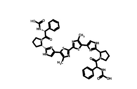 Cc1nc(-c2nc(C)c(-c3c[nH]c([C@@H]4CCCN4C(=O)[C@H](NC(=O)O)c4ccccc4)n3)s2)sc1-c1c[nH]c(C2CCCN2C(=O)C(NC(=O)O)c2ccccc2)n1